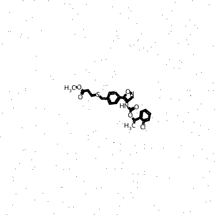 COC(=O)CCSCc1ccc(-c2oncc2NC(=O)OC(C)c2ccccc2Cl)cc1